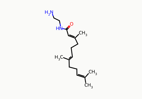 CC(C)=CCCC(C)=CCCC(C)=CC(=O)NCCN